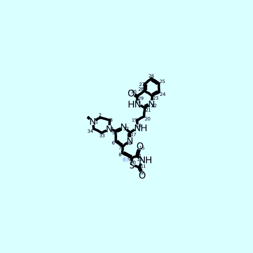 CN1CCN(c2cc(/C=C3/SC(=O)NC3=O)nc(NCCc3nc4ccccc4c(=O)[nH]3)n2)CC1